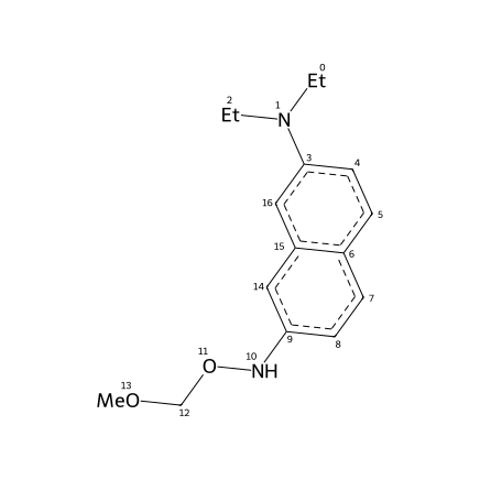 CCN(CC)c1ccc2ccc(NOCOC)cc2c1